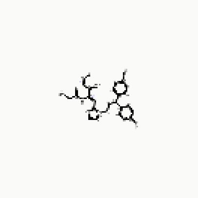 C/N=C\C(=O)/C(=C/c1nccn1CCC(c1ccc(F)cc1)c1ccc(F)cc1)OC(=O)CC(C)C